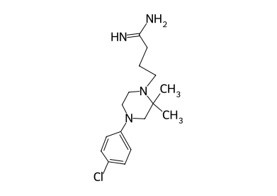 CC1(C)CN(c2ccc(Cl)cc2)CCN1CCCC(=N)N